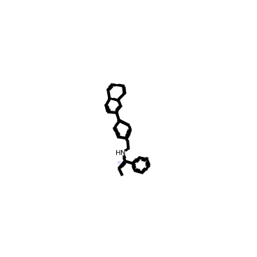 C/C=C(/NCC1=CCC(C2=CC3CCC=CC3C=C2)C=C1)c1ccccc1